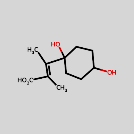 CC(C(=O)O)=C(C)C1(O)CCC(O)CC1